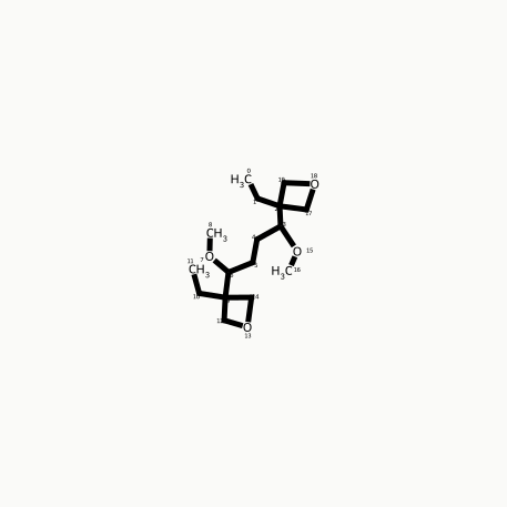 CCC1(C(CCC(OC)C2(CC)COC2)OC)COC1